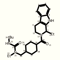 CCC1c2[nH]c3ccccc3c2CCN1C(=O)C1CCC(CN(CC)C(=O)NC(C)(C)C)CC1